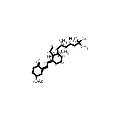 C=C1CC[C@H](OC(C)=O)C/C1=C/C=C1\CCC[C@]2(C)[C@@H]([C@H](C)CCCC(C)(C)F)CC[C@@H]12